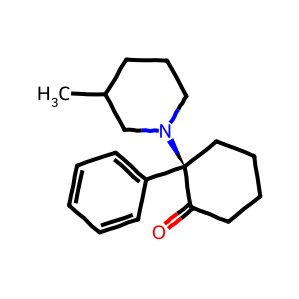 CC1CCCN([C@@]2(c3ccccc3)CCCCC2=O)C1